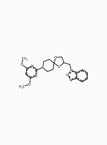 COc1cc(OC)nc(N2CCC3(CC2)OCC(Cn2nnc4ccccc42)O3)n1